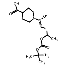 CC(ON=[N+]([O-])N1CCC(C(=O)O)CC1)OC(=O)OC(C)(C)C